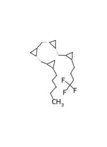 CCCCCC1CC1C[C@@H]1CC1C[C@@H]1C[C@@H]1CC1CC1CCCC(F)(F)F